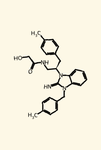 Cc1ccc(C[C@H](CNC(=O)CO)n2c(=N)n(Cc3ccc(C)cc3)c3ccccc32)cc1